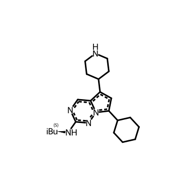 CC[C@H](C)Nc1ncc2c(C3CCNCC3)cc(C3CCCCC3)n2n1